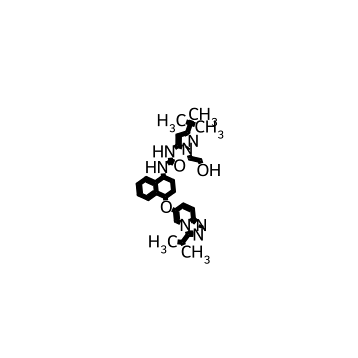 CC(C)c1nnc2ccc(OC3CCC(NC(=O)Nc4cc(C(C)(C)C)nn4CCO)c4ccccc43)cn12